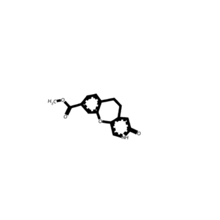 COC(=O)c1ccc2c(c1)Oc1c[nH]c(=O)cc1CC2